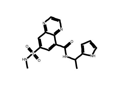 CNS(=O)(=O)c1cc(C(=O)NC(C)c2ccc[nH]2)c2nccnc2c1